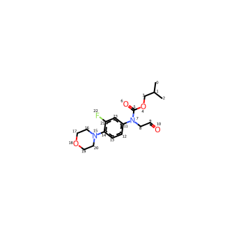 CC(C)COC(=O)N(CC=O)c1ccc(N2CCOCC2)c(F)c1